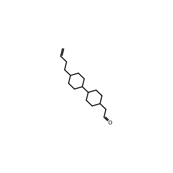 C=CCCC1CCC(C2CCC(CC=O)CC2)CC1